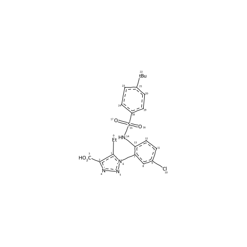 CCc1c(C(=O)O)nnn1-c1cc(Cl)ccc1NS(=O)(=O)c1ccc(C(C)(C)C)cc1